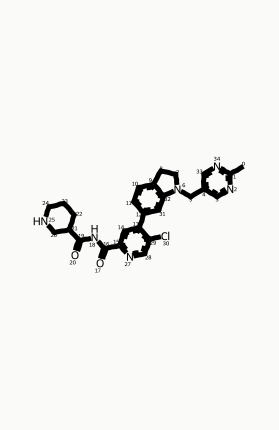 Cc1ncc(CN2CCc3ccc(-c4cc(C(=O)NC(=O)C5CCCNC5)ncc4Cl)cc32)cn1